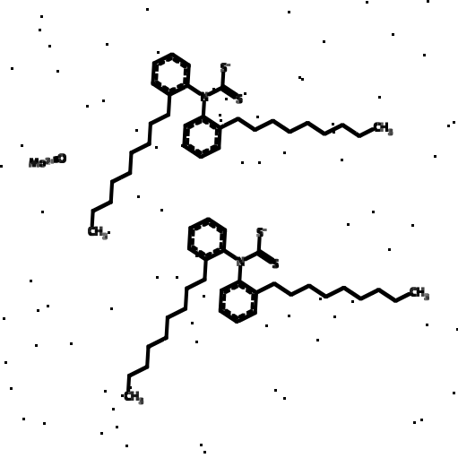 CCCCCCCCCc1ccccc1N(C(=S)[S-])c1ccccc1CCCCCCCCC.CCCCCCCCCc1ccccc1N(C(=S)[S-])c1ccccc1CCCCCCCCC.[O]=[Mo+2]